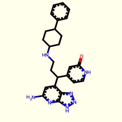 Nc1cc(C(CCNC2CCC(c3ccccc3)CC2)c2cc[nH]c(=O)c2)c2nn[nH]c2n1